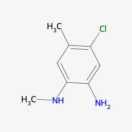 CNc1cc(C)c(Cl)cc1N